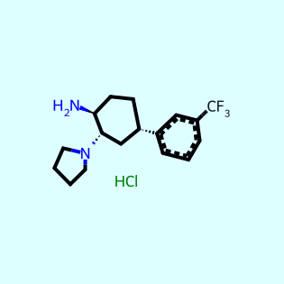 Cl.N[C@H]1CC[C@H](c2cccc(C(F)(F)F)c2)C[C@@H]1N1CCCC1